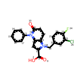 O=C(O)c1cc2c(ccc(=O)n2-c2ccccc2)n1Cc1ccc(F)c(Cl)c1